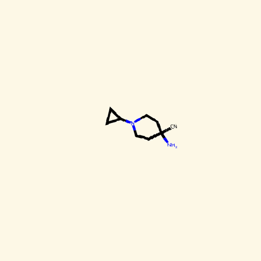 N#CC1(N)CCN(C2CC2)CC1